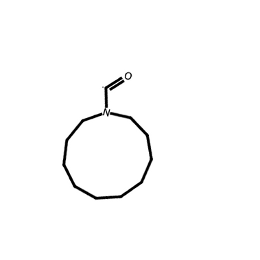 O=[C]N1CCCCCCCCCC1